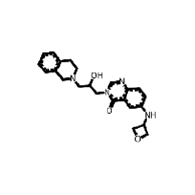 O=c1c2cc(NC3COC3)ccc2ncn1CC(O)CN1CCc2ccccc2C1